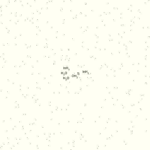 O.O.O.[InH3].[InH3].[Ti]